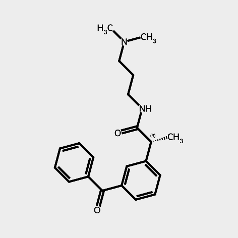 C[C@@H](C(=O)NCCCN(C)C)c1cccc(C(=O)c2ccccc2)c1